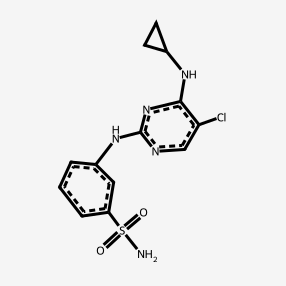 NS(=O)(=O)c1cccc(Nc2ncc(Cl)c(NC3CC3)n2)c1